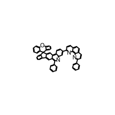 c1ccc(-c2ccc3ccc4ccc(-c5ccc6c(c5)nc(-c5ccccc5)c5cc7c(cc56)C5(c6ccccc6Oc6ccccc65)c5ccccc5-7)nc4c3n2)cc1